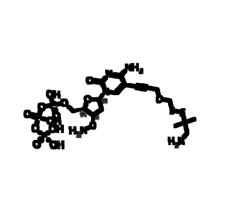 CC(C)(CN)SSCOCC#Cc1cn([C@H]2C[C@@H](ON)[C@@H](COP(=O)(O)OP(=O)(O)OP(=O)(O)O)O2)c(=O)nc1N